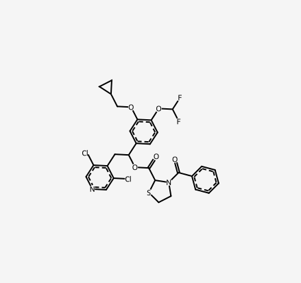 O=C(OC(Cc1c(Cl)cncc1Cl)c1ccc(OC(F)F)c(OCC2CC2)c1)C1SCCN1C(=O)c1ccccc1